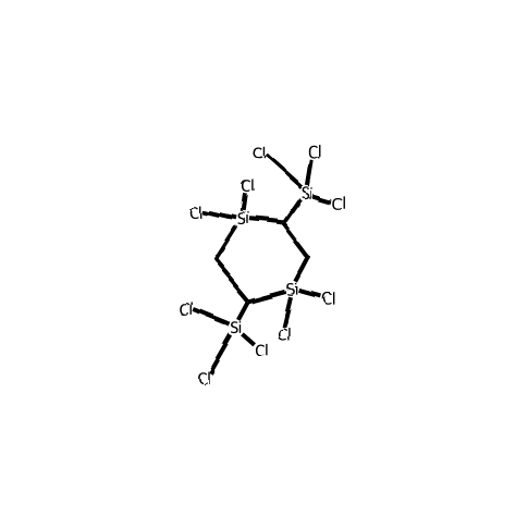 Cl[Si](Cl)(Cl)C1C[Si](Cl)(Cl)C([Si](Cl)(Cl)Cl)C[Si]1(Cl)Cl